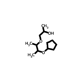 CC(O)COC(C)C(C)OC1CCCC1